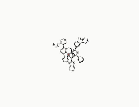 Cc1ccccc1-c1ccc2c3ccccc3n(-c3nc(-c4ccccc4)nc(-c4ccc5oc6ccccc6c5c4)n3)c2c1CCc1ccc(-c2nc3ccccc3s2)cc1